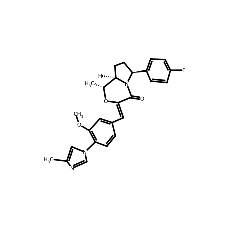 COc1cc(/C=C2\O[C@H](C)[C@H]3CC[C@@H](c4ccc(F)cc4)N3C2=O)ccc1-n1cnc(C)c1